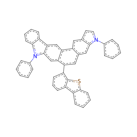 c1ccc(-n2ccc3cc4c(cc(-c5cccc6c5sc5ccccc56)c5cc6c(cc54)c4ccccc4n6-c4ccccc4)cc32)cc1